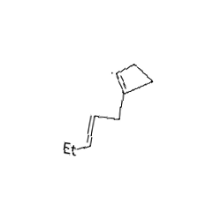 CCC=CCC1=[C]CC1